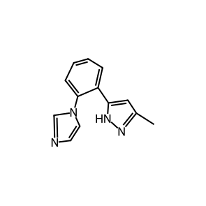 Cc1cc(-c2ccccc2-n2ccnc2)[nH]n1